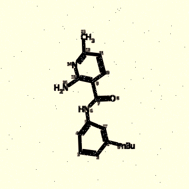 CCCCc1cccc(NC(=O)c2ccc(C)nc2N)c1